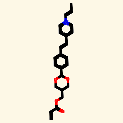 C=CC(=O)OCC1COC(c2ccc(C=Cc3cc[n+](C=CC)cc3)cc2)OC1